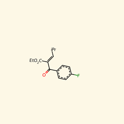 CCOC(=O)C(=CC(C)C)C(=O)c1ccc(F)cc1